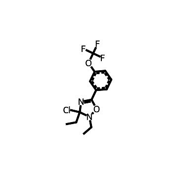 CCN1OC(c2cccc(OC(F)(F)F)c2)=NC1(Cl)CC